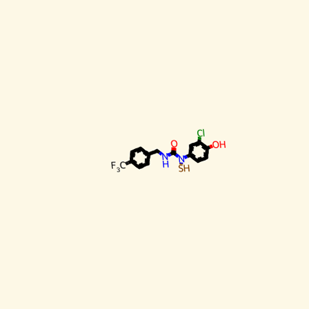 O=C(NCc1ccc(C(F)(F)F)cc1)N(S)c1ccc(O)c(Cl)c1